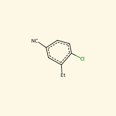 CCc1cc(C#N)ccc1Cl